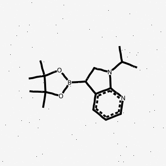 CC(C)N1CC(B2OC(C)(C)C(C)(C)O2)c2cccnc21